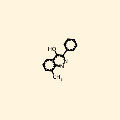 Cc1cccc2c(O)c(-c3ccccc3)nnc12